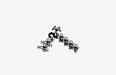 CN(C)C(n1nnc2c1ccc[n+]2[O-])=[N+](C)C.O=P(O)(O)F.O=P(O)(O)F.O=P(O)(O)F.O=P(O)(O)F.O=P(O)(O)F.O=P([O-])(O)F